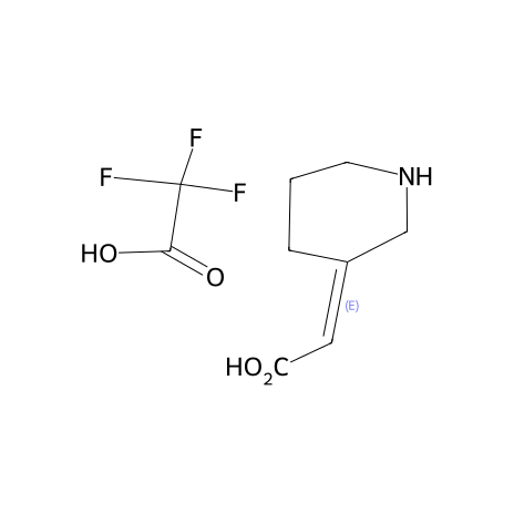 O=C(O)/C=C1\CCCNC1.O=C(O)C(F)(F)F